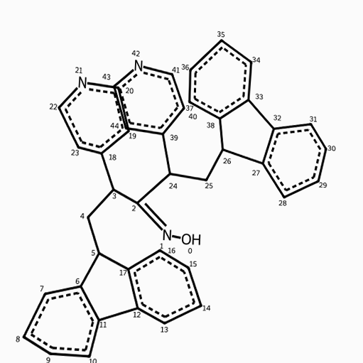 ON=C(C(CC1c2ccccc2-c2ccccc21)c1ccncc1)C(CC1c2ccccc2-c2ccccc21)c1ccncc1